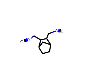 [C-]#[N+]CC1C2CCC(C2)C1C[N+]#[C-]